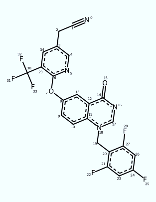 N#CCc1cnc(Oc2ccc3c(c2)c(=O)ncn3Cc2c(F)cc(F)cc2F)c(C(F)(F)F)c1